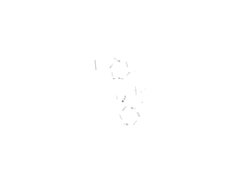 Fc1cccc(C(Br)Oc2ccccc2)c1